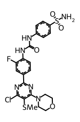 CSc1c(Cl)nc(-c2ccc(NC(=O)Nc3ccc(S(N)(=O)=O)cc3)c(F)c2)nc1N1CCOCC1